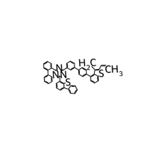 C=Cc1c(/C=C\C)sc2cccc(-c3ccc(-c4cccc(-c5nc(-c6ccccc6-c6ccccc6)nc(-c6cccc7c6sc6ccccc67)n5)c4)cc3)c12